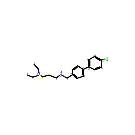 CCN(CC)CCCNCc1ccc(-c2ccc(Cl)cc2)cc1